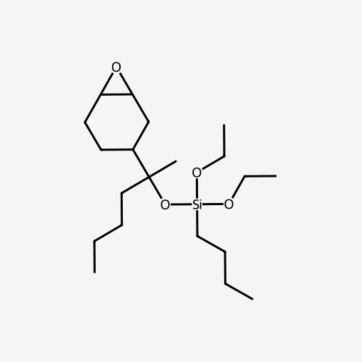 CCCCC(C)(O[Si](CCCC)(OCC)OCC)C1CCC2OC2C1